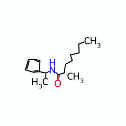 CCCCCC[C@H](C)C(=O)N[C@@H](C)c1ccccc1